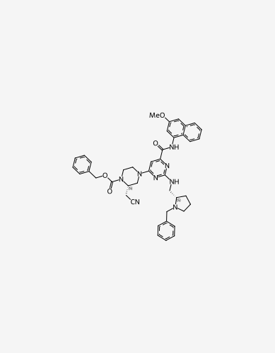 COc1cc(NC(=O)c2cc(N3CCN(C(=O)OCc4ccccc4)[C@@H](CC#N)C3)nc(NC[C@@H]3CCCN3Cc3ccccc3)n2)c2ccccc2c1